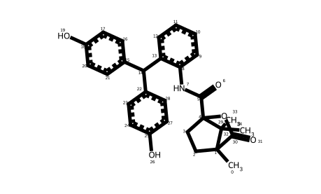 CC12CCC(C(=O)Nc3ccccc3C(c3ccc(O)cc3)c3ccc(O)cc3)(OC1=O)C2(C)C